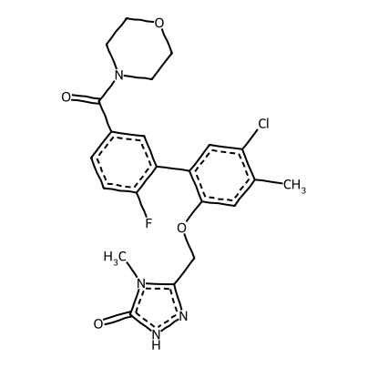 Cc1cc(OCc2n[nH]c(=O)n2C)c(-c2cc(C(=O)N3CCOCC3)ccc2F)cc1Cl